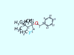 [CH2]C(C(C)(CF)OCc1ccccc1)[Si](C)(C)C